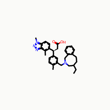 CCC1CCc2ccccc2CN(Cc2cc([C@H](CC(=O)O)c3ccc4c(nnn4C)c3C)ccc2C)C1